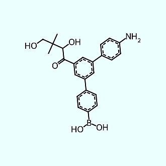 CC(C)(CO)C(O)C(=O)c1cc(-c2ccc(N)cc2)cc(-c2ccc(B(O)O)cc2)c1